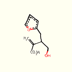 C=C(C(=O)O)C(CO)Cc1ccco1